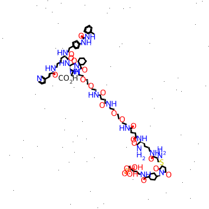 Cc1ccccc1NC(=O)Nc1ccc(CC(=O)NC(CCCCNC(=O)/C=C/c2cccnc2)C(=O)N[C@@H](CCCC(=O)O)C(=O)NC2(C(=O)NCCOCCOCCNC(=O)CCC(=O)NCCOCCOCCNC(=O)CCC(=O)N[C@@H](CCCCNC(=O)[C@H](N)CSC3CC(=O)N(CC4CCC(C(=O)NCCCC(C)(O)P(=O)(O)O)CC4)C3=O)C(N)=O)CCCCC2)cc1